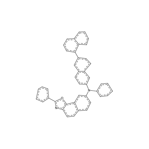 c1ccc(-c2nc3ccc4ccc(N(c5ccccc5)c5ccc6cc(-c7cccc8ccccc78)ccc6c5)cc4c3o2)cc1